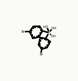 OP(O)(O)(c1ccc(Br)cc1)c1ccc(Br)cc1